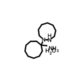 CC1(N2CCCCCCCN2)CCCCCCCC1.N.O